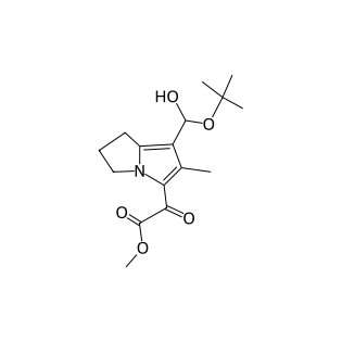 COC(=O)C(=O)c1c(C)c(C(O)OC(C)(C)C)c2n1CCC2